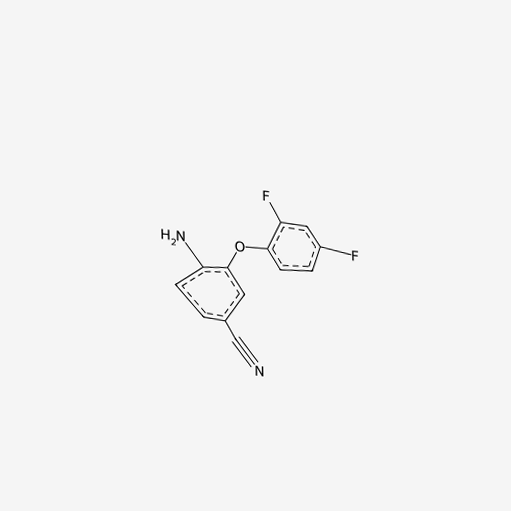 N#Cc1ccc(N)c(Oc2ccc(F)cc2F)c1